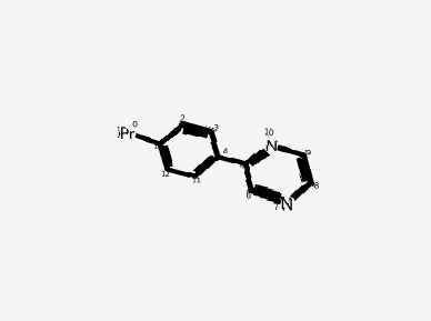 CC(C)c1ccc(-c2cnccn2)cc1